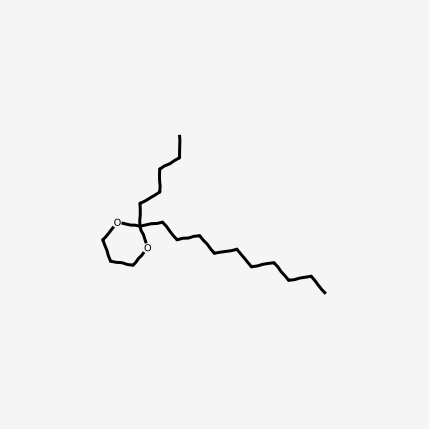 CCCCCCCCCCC1(CCCCC)OCCCO1